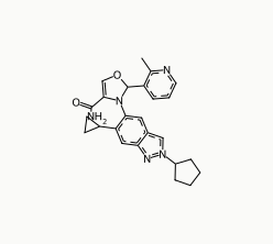 Cc1ncccc1C1OC=C(C(N)=O)N1c1cc2cn(C3CCCC3)nc2cc1C1CC1